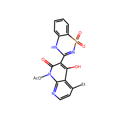 CCc1ccnc2c1c(O)c(C1=NS(=O)(=O)c3ccccc3N1)c(=O)n2OC(C)=O